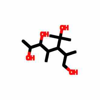 CC(O)C(O)C(C)C(C(C)CO)C(C)(C)O